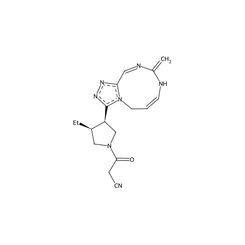 C=C1/N=C\c2nnc([C@H]3CN(C(=O)CC#N)C[C@H]3CC)n2C/C=C\N1